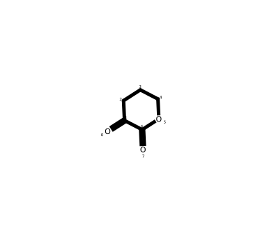 O=C1CCCOC1=O